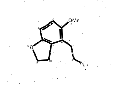 COc1ccc2c(c1CCN)CCO2